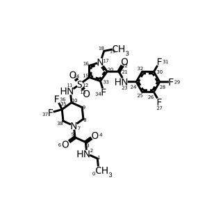 CCNC(=O)C(=O)N1CCC(NS(=O)(=O)c2cn(CC)c(C(=O)Nc3cc(F)c(F)c(F)c3)c2F)C(F)(F)C1